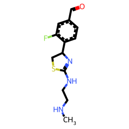 CNCCNC1=NC(c2ccc(C=O)cc2F)CS1